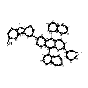 N#Cc1ccc2oc3ccc(-c4ccc5c(-c6cccc7ccccc67)c6cc(-c7cccnc7)ccc6c(-c6cccc7ccccc67)c5c4)cc3c2c1